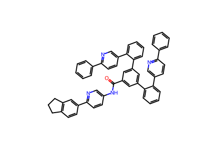 O=C(Nc1ccc(-c2ccc3c(c2)CCC3)nc1)c1cc(-c2ccccc2-c2ccc(-c3ccccc3)nc2)cc(-c2ccccc2-c2ccc(-c3ccccc3)nc2)c1